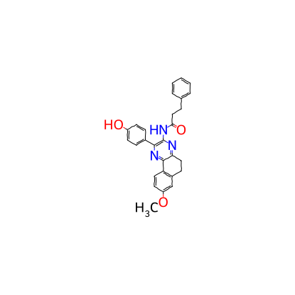 COc1ccc2c(c1)CCc1nc(NC(=O)CCc3ccccc3)c(-c3ccc(O)cc3)nc1-2